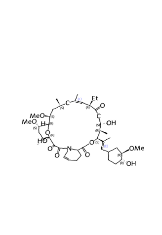 CC[C@@H]1/C=C(\C)C[C@H](C)C[C@H](OC)[C@H]2O[C@@](O)(C(=O)C(=O)N3C=CCCC3C(=O)O[C@H](/C(C)=C/C3CC[C@@H](O)[C@H](OC)C3)[C@H](C)[C@@H](O)CC1=O)[C@H](C)C[C@@H]2OC